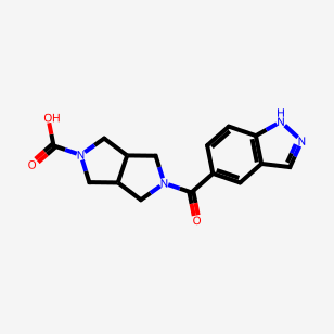 O=C(O)N1CC2CN(C(=O)c3ccc4[nH]ncc4c3)CC2C1